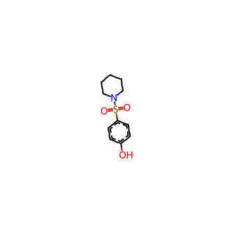 O=S(=O)(c1ccc(O)cc1)N1CCCCC1